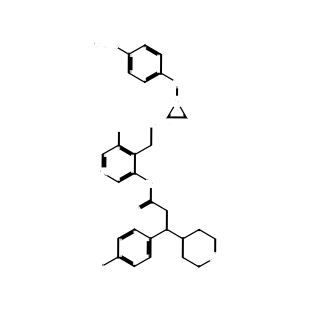 COc1ccc(SN2C[C@@H]2CCc2c(F)cncc2NC(=O)CC(c2ccc(Cl)cc2)C2CCOCC2)cc1